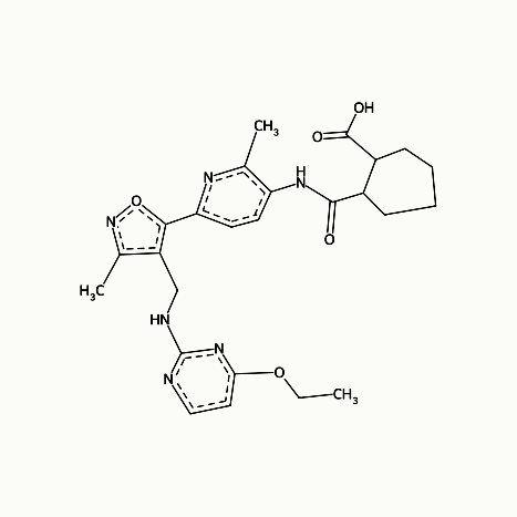 CCOc1ccnc(NCc2c(C)noc2-c2ccc(NC(=O)C3CCCCC3C(=O)O)c(C)n2)n1